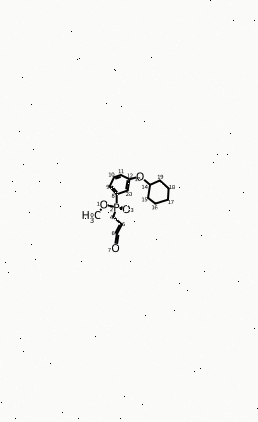 COP(=O)(CC=C=O)c1cccc(OC2CCCCC2)c1